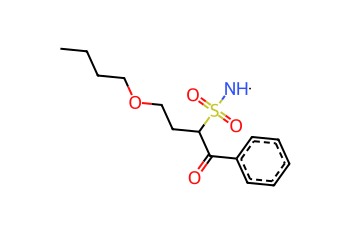 CCCCOCCC(C(=O)c1ccccc1)S([NH])(=O)=O